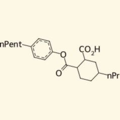 CCCCCc1ccc(OC(=O)C2CCC(CCC)CC2C(=O)O)cc1